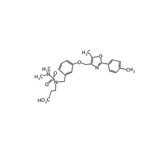 Cc1ccc(-c2nc(COc3cccc(CN(CCC(=O)O)S(=O)(=O)N(C)C)c3)c(C)o2)cc1